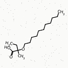 CCCCCCCCCCCOC(C)(CC)C(=O)O